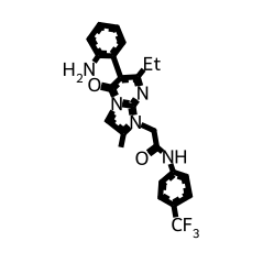 CCc1nc2n(CC(=O)Nc3ccc(C(F)(F)F)cc3)c(C)cn2c(=O)c1-c1ccccc1N